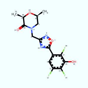 C[C@H]1CN(Cc2noc(-c3cc(F)c(F)c(O)c3F)n2)C(=O)[C@@H](C)O1